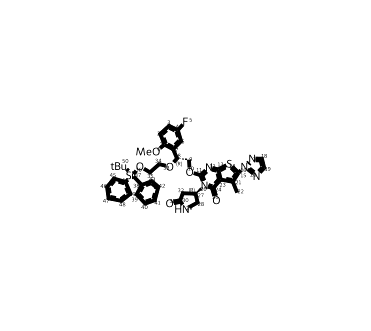 COc1ccc(F)cc1[C@H](COc1nc2sc(-n3nccn3)c(C)c2c(=O)n1[C@H]1CNC(=O)C1)OCCO[Si](c1ccccc1)(c1ccccc1)C(C)(C)C